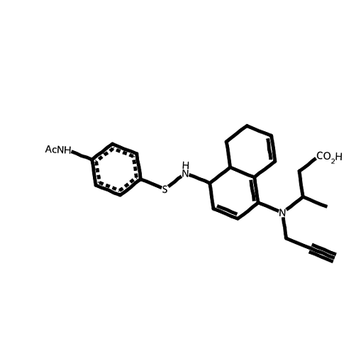 C#CCN(C1=C2C=CCCC2C(NSc2ccc(NC(C)=O)cc2)C=C1)C(C)CC(=O)O